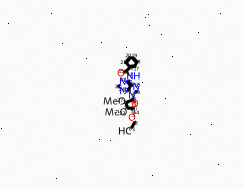 C#CCOC[C@H]1O[C@@H](n2cnc3c(NC(=O)c4ccccc4)ncnc32)C(OC)C1OC